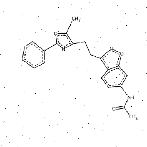 CC(=O)Nc1ccc2c(CCc3nc(-c4ccccc4)oc3C)noc2c1